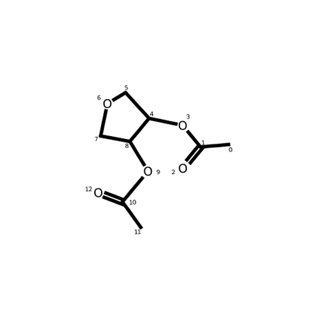 CC(=O)OC1COCC1OC(C)=O